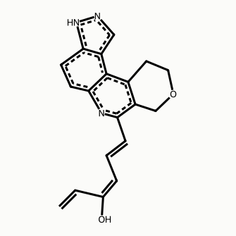 C=C/C(O)=C\C=C\c1nc2ccc3[nH]ncc3c2c2c1COCC2